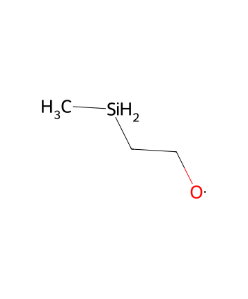 C[SiH2]CC[O]